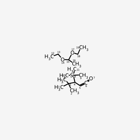 CC(C)(C)C(C=C=O)[Si](C)(C)C.CCOC(C)OCC